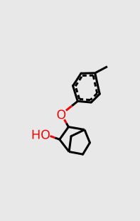 Cc1ccc(OC2C3CCC(C3)C2O)cc1